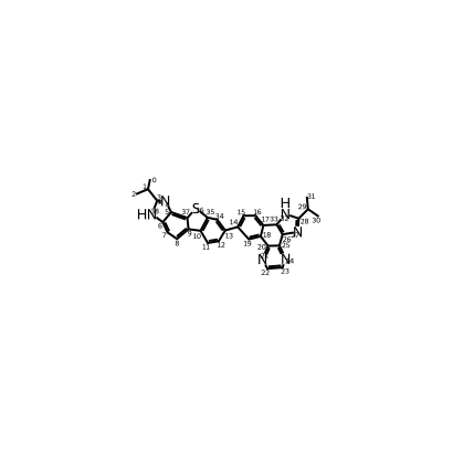 CC(C)c1nc2c(ccc3c4ccc(-c5ccc6c(c5)c5nccnc5c5nc(C(C)C)[nH]c65)cc4sc32)[nH]1